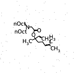 C=CC(C)(CCC=C(C)C)OC(=O)CN(CCCCCCCC)CCCCCCCC